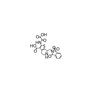 O=C(O)C(=O)Nc1sc2c(c1C(=O)O)CCNC2CN1C(=O)c2ccccc2S1(=O)=O